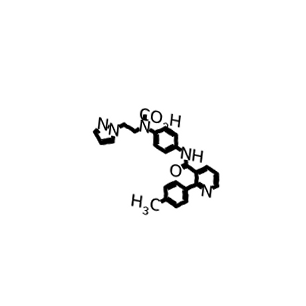 Cc1ccc(-c2ncccc2C(=O)Nc2ccc(N(CCn3cccn3)C(=O)O)cc2)cc1